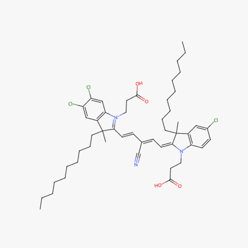 CCCCCCCCCCC1(C)C(/C=C/C(C#N)=C/C=C2/N(CCC(=O)O)c3ccc(Cl)cc3C2(C)CCCCCCCCCC)=[N+](CCC(=O)O)c2cc(Cl)c(Cl)cc21